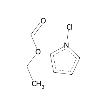 CCOC=O.Cln1cccc1